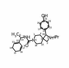 CC(C)N1CC2(CCN(C(=O)N[C@H](C)C3=CCCC=C3)CC2)C1c1ccc(O)cc1